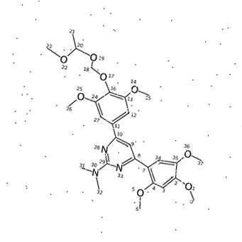 COc1cc(OC)c(-c2cc(-c3cc(OC)c(OCOC(C)OC)c(OC)c3)nc(N(C)C)n2)cc1OC